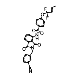 C/C=C/C(F)(F)Oc1ccc(S(=O)(=O)Nc2cccc3c2C(=O)N(Cc2cccc(C#N)c2)C3=O)cc1